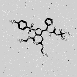 CCOC(=O)C[C@@H]1[C@@H]([C@@H](NC(=O)OC(C)(C)C)c2ccco2)CN(S(=O)(=O)c2ccc(C)cc2)[C@@H]1C(=O)OCC